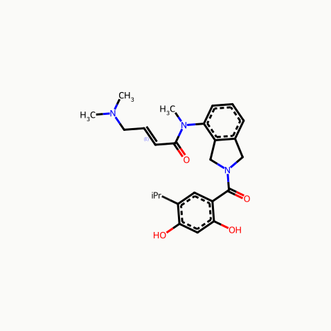 CC(C)c1cc(C(=O)N2Cc3cccc(N(C)C(=O)/C=C/CN(C)C)c3C2)c(O)cc1O